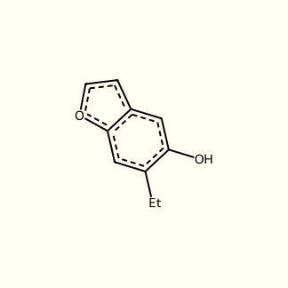 CCc1cc2occc2cc1O